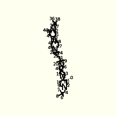 C[C@@H]1CN(CC(C)(C)C)CCC1N1CC2(C1)CN(C(C)(C)CCC(C)(C)N1CCN(C3CCN(CC(C)(C)C)[C@@H](C)C3)CC1)C2